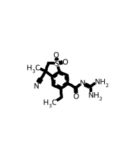 CCc1cc2c(cc1C(=O)N=C(N)N)S(=O)(=O)CC2(C)C#N